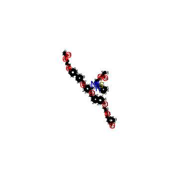 C=CC(=O)OCCCOc1ccc(-c2ccc(COc3ccc(OCc4ccc5cc(OCCCOCC6CCC7OC7C6)ccc5c4)c(/C=N/N(CCOC(=O)C=C)c4nc5ccccc5s4)c3)cc2)cc1